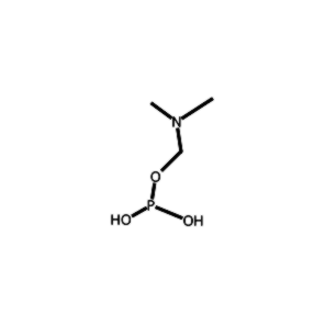 CN(C)COP(O)O